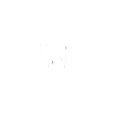 CC(C)[C@](C)(NP(=O)(Cl)Oc1ccccc1)C(=O)O